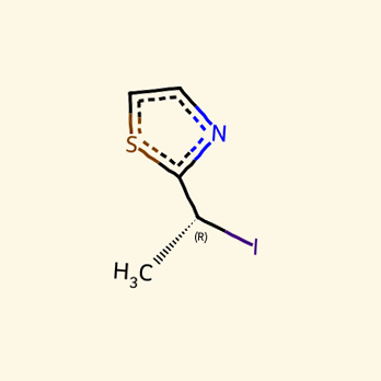 C[C@@H](I)c1nccs1